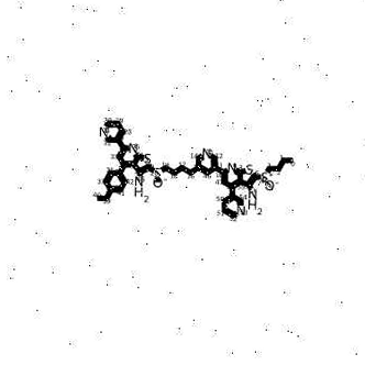 CCCC[S@@+]([O-])c1sc2nc(-c3cncc(CCCC[S+]([O-])c4sc5nc(-c6cccnc6)cc(-c6ccc(CC)cc6)c5c4N)c3)cc(-c3cccnc3)c2c1N